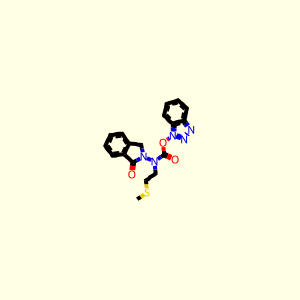 CSCCN(C(=O)On1nnc2ccccc21)N1Cc2ccccc2C1=O